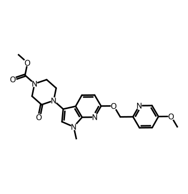 COC(=O)N1CCN(c2cn(C)c3nc(OCc4ccc(OC)cn4)ccc23)C(=O)C1